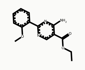 CCOC(=O)c1cnc(-c2ccccc2OC)nc1N